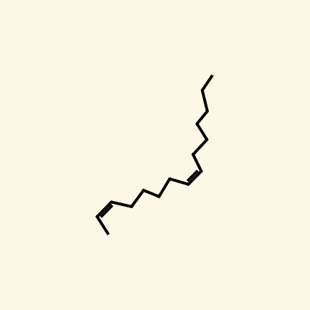 C/C=C\CCCC/C=C\CCCCCC